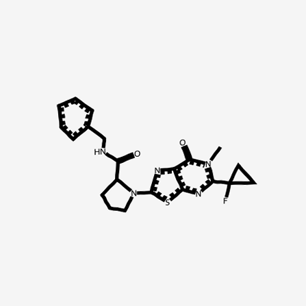 Cn1c(C2(F)CC2)nc2sc(N3CCCC3C(=O)NCc3ccccc3)nc2c1=O